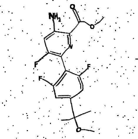 COC(=O)c1nc(-c2c(F)cc(C(C)(C)OC)cc2F)c(F)cc1N